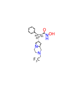 O=C(NO)[C@@H]1[C@H](c2ccccc2)[C@H]1c1cc2n(c1)CCN(CC(F)(F)F)C2